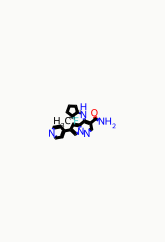 C[C@]1(F)CCC[C@H]1Nc1c(C(N)=O)cnn2cc(-c3ccncc3)cc12